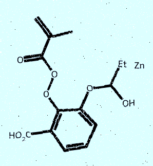 C=C(C)C(=O)OOc1c(OC(O)CC)cccc1C(=O)O.[Zn]